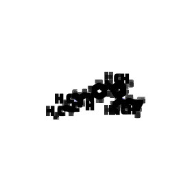 C=CC=C=C/C(=C\C)CNC1CCC(Nc2nc(/C(C=N)=C(/C)CC3CC3)ccc2C)CC1